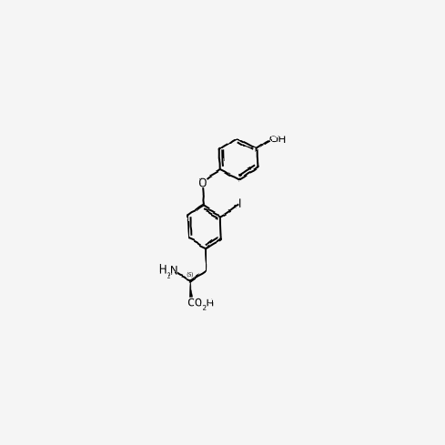 N[C@@H](Cc1ccc(Oc2ccc(O)cc2)c(I)c1)C(=O)O